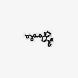 COCC(=O)OCOc1ccc([N+](=O)[O-])c2cccnc12